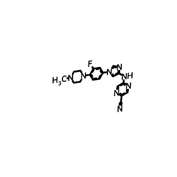 CN1CCN(c2ccc(-n3cnc(Nc4cnc(C#N)cn4)c3)cc2F)CC1